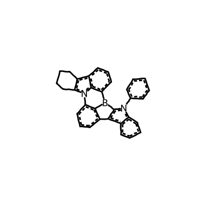 c1ccc(-n2c3c(c4ccccc42)-c2cccc4c2B3c2cccc3c5c(n-4c23)CCCC5)cc1